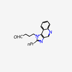 CCCc1nc2cnc3ccccc3c2n1CCCC=O